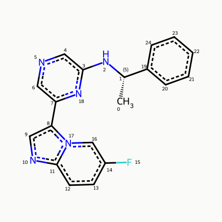 C[C@H](Nc1cncc(-c2cnc3ccc(F)cn23)n1)c1ccccc1